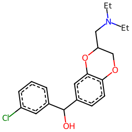 CCN(CC)CC1COc2ccc(C(O)c3cccc(Cl)c3)cc2O1